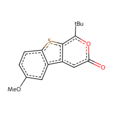 COc1ccc2sc3c(C(C)(C)C)oc(=O)cc3c2c1